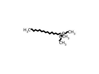 CCCCCCCCCCCCCCCC[Si](C)(OCCC)OCCC